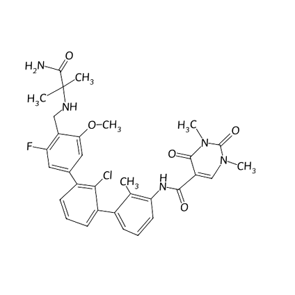 COc1cc(-c2cccc(-c3cccc(NC(=O)c4cn(C)c(=O)n(C)c4=O)c3C)c2Cl)cc(F)c1CNC(C)(C)C(N)=O